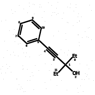 CCC(O)(C#Cc1c[c]ccc1)CC